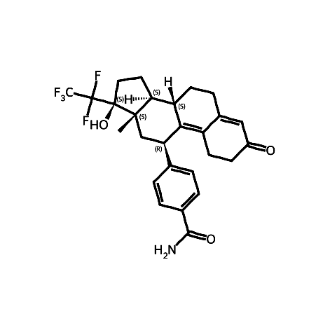 C[C@]12C[C@H](c3ccc(C(N)=O)cc3)C3=C4CCC(=O)C=C4CC[C@H]3[C@@H]1CC[C@@]2(O)C(F)(F)C(F)(F)F